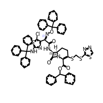 O=C(OC(c1ccccc1)c1ccccc1)C1=C(SCSc2nncs2)CC[C@@H]2[C@H](NC(=O)/C(=N\OC(c3ccccc3)(c3ccccc3)c3ccccc3)c3nc(NC(c4ccccc4)(c4ccccc4)c4ccccc4)sc3Cl)C(=O)N12